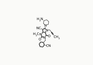 CC#CCn1c(N2CCC[C@@H](N)C2)c(C#N)c2c1c(=O)n(Cc1ccccc1C#N)c(=O)n2C